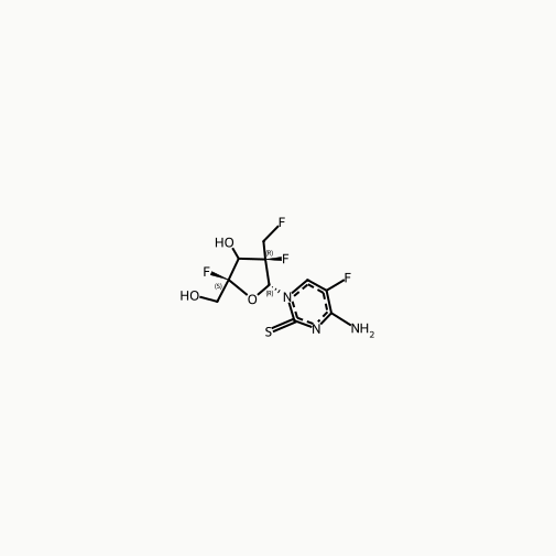 Nc1nc(=S)n([C@@H]2O[C@](F)(CO)C(O)[C@]2(F)CF)cc1F